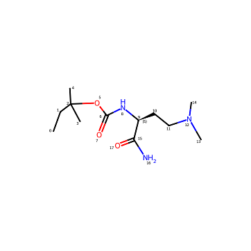 CCC(C)(C)OC(=O)N[C@@H](CCN(C)C)C(N)=O